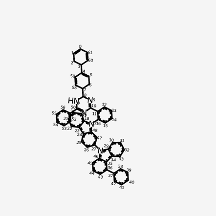 C1=CCC(C2=CCC(C3N=C(c4ccccc4-n4c5ccccc5c5ccc(-n6c7ccccc7c7c(-c8ccccc8)cccc76)cc54)N=C(c4ccccc4)N3)C=C2)C=C1